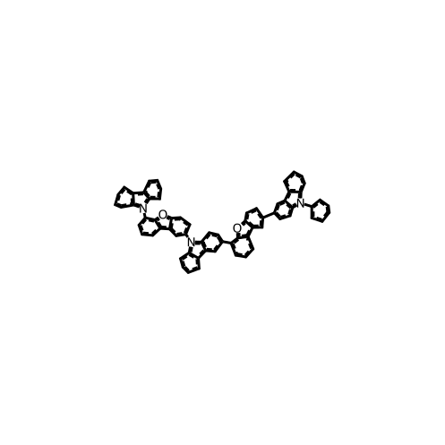 c1ccc(-n2c3ccccc3c3cc(-c4ccc5oc6c(-c7ccc8c(c7)c7ccccc7n8-c7ccc8oc9c(-n%10c%11ccccc%11c%11ccccc%11%10)cccc9c8c7)cccc6c5c4)ccc32)cc1